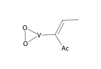 CC=[C](C(C)=O)[V]1[O][O]1